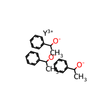 CC([O-])c1ccccc1.CC([O-])c1ccccc1.CC([O-])c1ccccc1.[Y+3]